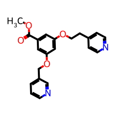 COC(=O)c1cc(OCCc2ccncc2)cc(OCc2cccnc2)c1